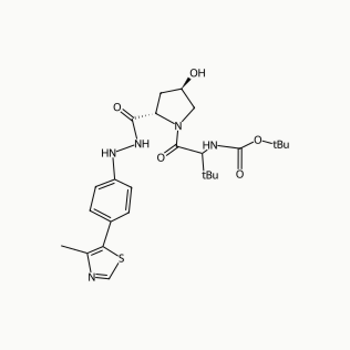 Cc1ncsc1-c1ccc(NNC(=O)[C@@H]2C[C@@H](O)CN2C(=O)C(NC(=O)OC(C)(C)C)C(C)(C)C)cc1